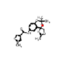 Cn1cc(C(=O)Nc2ccc3c(c2)C2(COC(N)=N2)C2(COC2)C(C)(C)O3)cn1